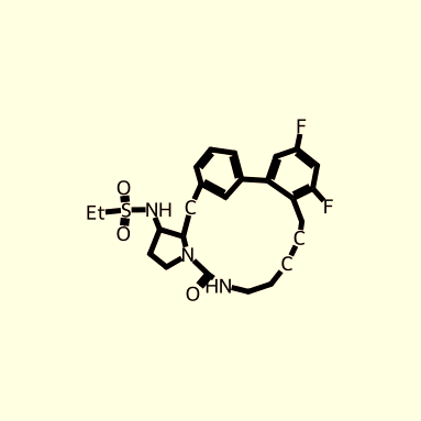 CCS(=O)(=O)NC1CCN2C(=O)NCCCCCc3c(F)cc(F)cc3-c3cccc(c3)CC12